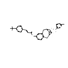 O=C(/C=C/c1ccc(C(F)(F)F)cc1)Oc1ccc2c(c1)C[C@H]1CC[C@@H](C2)[C@H]1NS(=O)(=O)c1ccc(Cl)s1